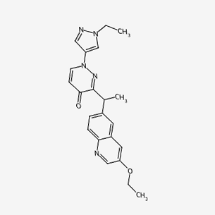 CCOc1cnc2ccc(C(C)c3nn(-c4cnn(CC)c4)ccc3=O)cc2c1